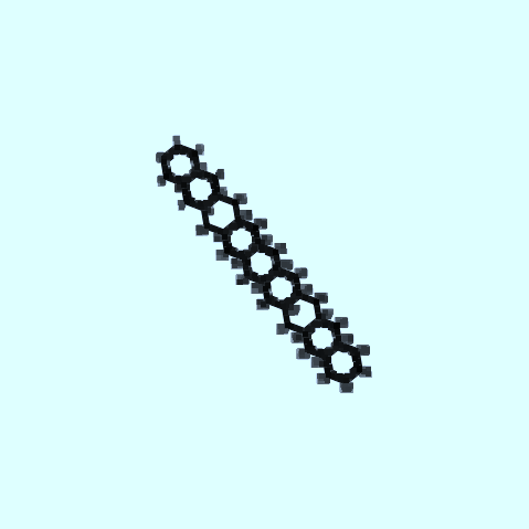 c1ccc2cc3c(cc2c1)Cc1cc2cc4cc5c(cc4cc2cc1C3)Cc1cc2ccccc2cc1C5